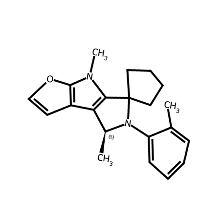 Cc1ccccc1N1[C@@H](C)c2c(n(C)c3occc23)C12CCCC2